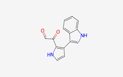 O=CC(=O)c1[nH]ccc1-c1c[nH]c2ccccc12